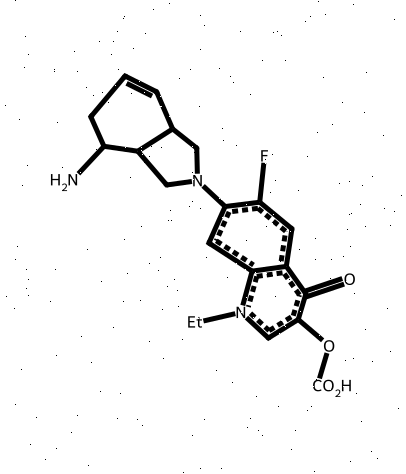 CCn1cc(OC(=O)O)c(=O)c2cc(F)c(N3CC4C=CCC(N)C4C3)cc21